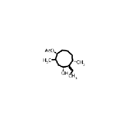 C/C=C1/[C@@H](C)CCC[C@H](OC(C)=O)C(C)C[C@@H]1O